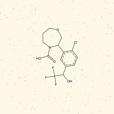 O=C(O)N1CCCOCC1c1cc(C(O)C(F)(F)F)ccc1Cl